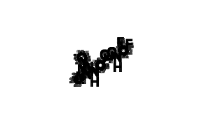 O=C(CC(=O)c1ccc(Nc2nc(N3CCCCC3)nc(N3CCCC3)n2)cc1)Nc1ccc(F)c(F)c1